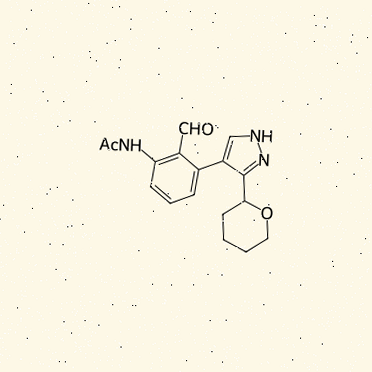 CC(=O)Nc1cccc(-c2c[nH]nc2C2CCCCO2)c1C=O